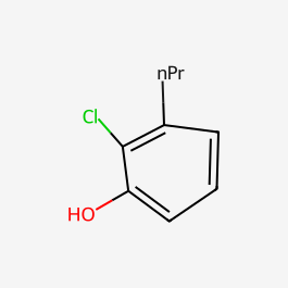 [CH2]CCc1cccc(O)c1Cl